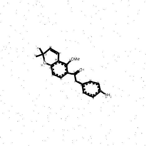 COc1c(C(=O)Cc2ccc(N)cc2)ccc2c1C=CC(C)(C)O2